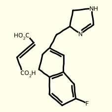 Fc1ccc2c(c1)C=C(CC1CNC=N1)CC2.O=C(O)/C=C/C(=O)O